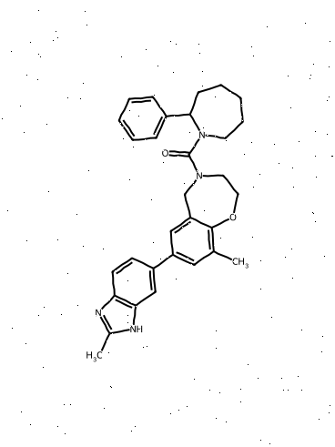 Cc1nc2ccc(-c3cc(C)c4c(c3)CN(C(=O)N3CCCCCC3c3ccccc3)CCO4)cc2[nH]1